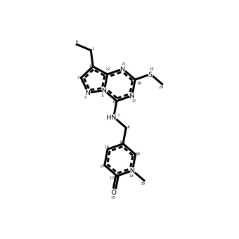 CCc1cnn2c(NCc3ccc(=O)n(C)c3)nc(SC)nc12